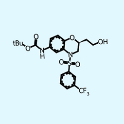 CC(C)(C)OC(=O)Nc1ccc2c(c1)N(S(=O)(=O)c1cccc(C(F)(F)F)c1)C[C@H](CCO)O2